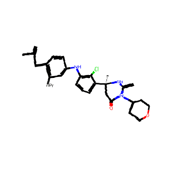 C=C(C)Cc1ccc(Nc2cccc([C@]3(C)CC(=O)N(C4CCOCC4)C(=C)N3)c2Cl)cc1CCC